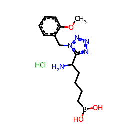 COc1ccccc1Cn1nnnc1C(N)CCCCB(O)O.Cl